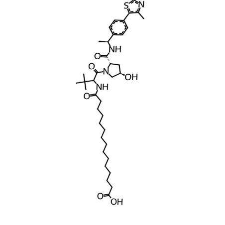 Cc1ncsc1-c1ccc([C@H](C)NC(=O)[C@@H]2C[C@@H](O)CN2C(=O)C(NC(=O)CCCCCCCCCCCCCC(=O)O)C(C)(C)C)cc1